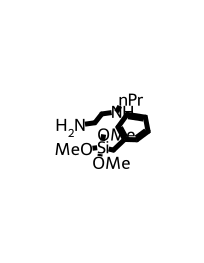 CCCNCCN.CO[Si](Cc1ccccc1)(OC)OC